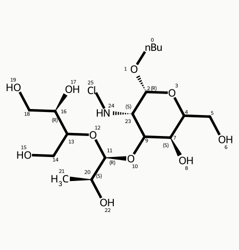 CCCCO[C@@H]1OC(CO)[C@@H](O)C(O[C@H](OC(CO)[C@H](O)CO)[C@H](C)O)[C@@H]1NCl